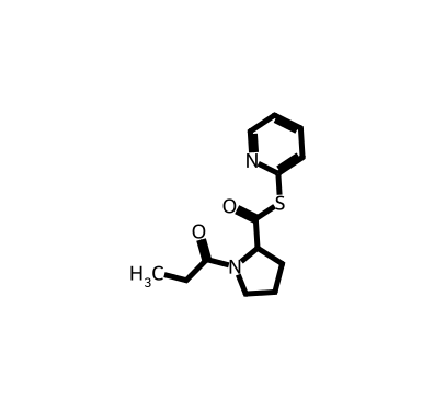 CCC(=O)N1CCCC1C(=O)Sc1ccccn1